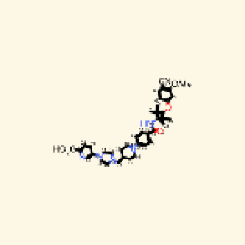 COc1cc(O[C@H]2C(C)(C)[C@H](NC(=O)c3ccc(N4CCC(CN5CCN(c6ccc(C(=O)O)nc6)CC5)CC4)cc3)C2(C)C)ccc1C#N